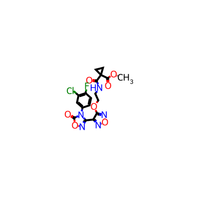 COC(=O)C1(C(=O)NCCOc2nonc2-c2noc(=O)n2-c2ccc(F)c(Cl)c2)CC1